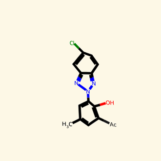 CC(=O)c1cc(C)cc(-n2nc3ccc(Cl)cc3n2)c1O